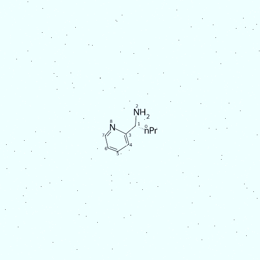 CCC[C@@H](N)c1ccccn1